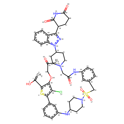 C=C(O)c1sc(-c2cccc(NC3CCN(S(=O)(=O)Cc4cccc(NC(=O)CN5CCC(n6nc(C7CCC(=O)NC7=O)c7ccccc76)CC5)c4)CC3)c2)c(Cl)c1OCC(C)=O